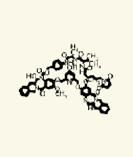 COc1cc2c(cc1OCc1cc(O)cc(COc3cc4c(cc3OC)C(=O)N3Cc5ccccc5CC3C(O)N4C(=O)OCc3ccc(NC(=O)[C@H](C)NC(=O)[C@@H](NC(=O)CCCCCN4C(=O)C=CC4=O)C(C)C)cc3)n1)N=C[C@@H]1Cc3ccccc3CN1C2=O